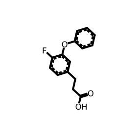 O=C(O)CCc1ccc(F)c(Oc2ccccc2)c1